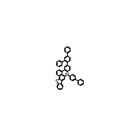 c1ccc(-c2ccc(N(c3ccc4sc5ccccc5c4c3)c3ccc(-c4ccc(-c5ccccc5)cc4-c4ccccc4)cc3-c3ccccc3)cc2)cc1